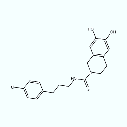 Oc1cc2c(cc1O)CN(C(=S)NCCCc1ccc(Cl)cc1)CC2